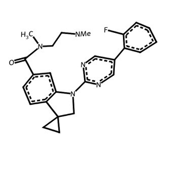 CNCCN(C)C(=O)c1ccc2c(c1)N(c1ncc(-c3ccccc3F)cn1)CC21CC1